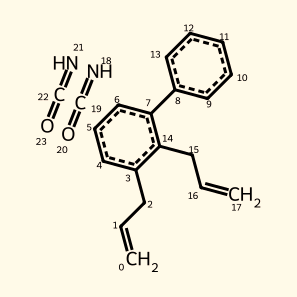 C=CCc1cccc(-c2ccccc2)c1CC=C.N=C=O.N=C=O